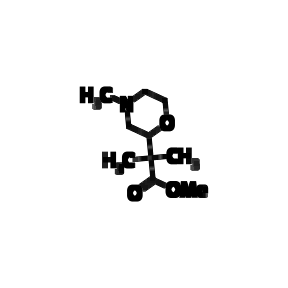 COC(=O)C(C)(C)C1CN(C)CCO1